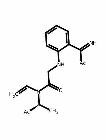 C=CN(C(=O)CNc1ccccc1C(=N)C(C)=O)[C@@H](C)C(C)=O